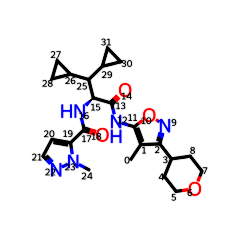 Cc1c(C2CCOCC2)noc1NC(=O)[C@@H](NC(=O)c1ccnn1C)C(C1CC1)C1CC1